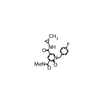 CNC(=O)c1cc(C(=O)N[C@H]2C[C@@H]2C)cn(Cc2ccc(F)cc2)c1=O